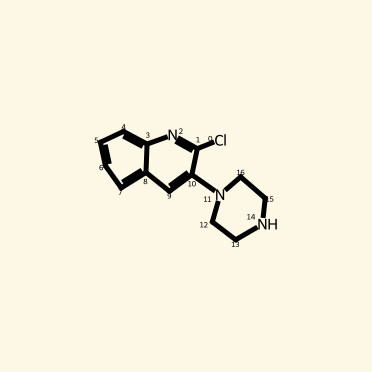 Clc1nc2ccccc2cc1N1CCNCC1